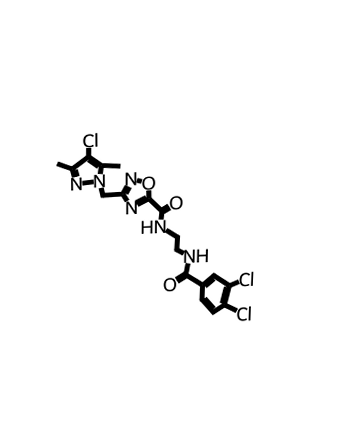 Cc1nn(Cc2noc(C(=O)NCCNC(=O)c3ccc(Cl)c(Cl)c3)n2)c(C)c1Cl